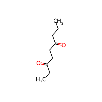 CCCC(=O)CCC(=O)CC